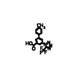 Cc1ccc(-c2cc(C(=O)O)cc(-n3nnnc3C(F)(F)F)c2)cc1